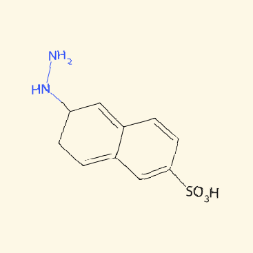 NNC1C=c2ccc(S(=O)(=O)O)cc2=CC1